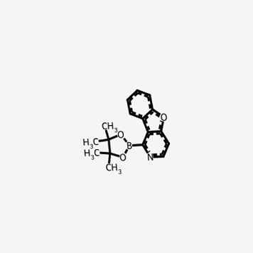 CC1(C)OB(c2nccc3oc4ccccc4c23)OC1(C)C